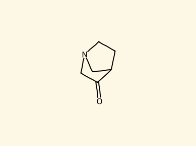 O=C1CN2CCC1C2